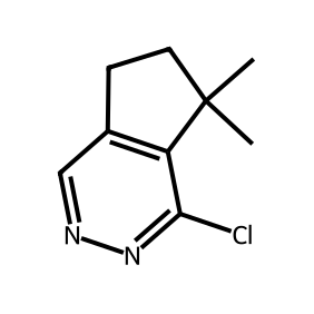 CC1(C)CCc2cnnc(Cl)c21